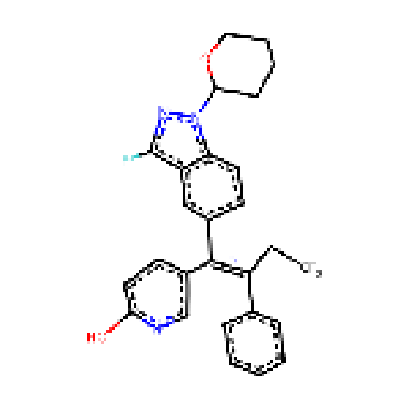 Oc1ccc(/C(=C(/CC(F)(F)F)c2ccccc2)c2ccc3c(c2)c(F)nn3C2CCCCO2)cn1